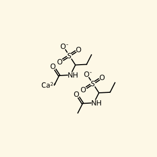 CCC(NC(C)=O)S(=O)(=O)[O-].CCC(NC(C)=O)S(=O)(=O)[O-].[Ca+2]